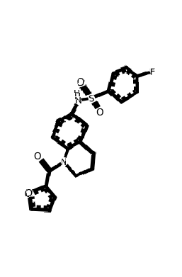 O=C(c1ccco1)N1CCCc2cc(NS(=O)(=O)c3ccc(F)cc3)ccc21